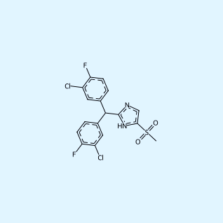 CS(=O)(=O)c1cnc(C(c2ccc(F)c(Cl)c2)c2ccc(F)c(Cl)c2)[nH]1